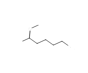 NCCCCC(NI)C(=O)O